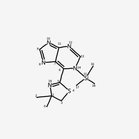 CC1(C)CSC(c2c3ncnc-3ncn2[Si](C)(C)C)=N1